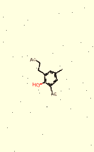 CC(=O)CCc1cc(C)cc(C(C)=O)c1O